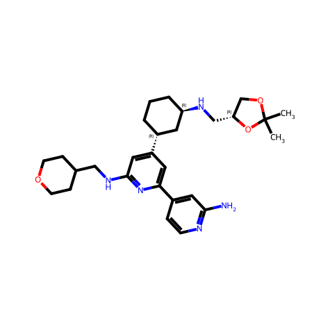 CC1(C)OC[C@@H](CN[C@@H]2CCC[C@@H](c3cc(NCC4CCOCC4)nc(-c4ccnc(N)c4)c3)C2)O1